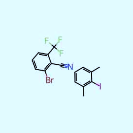 Cc1cccc(C)c1I.N#Cc1c(Br)cccc1C(F)(F)F